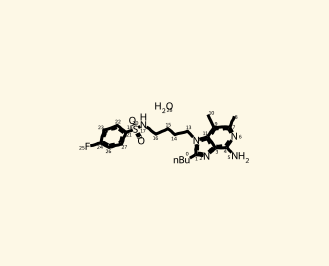 CCCCc1nc2c(N)nc(C)c(C)c2n1CCCCNS(=O)(=O)c1ccc(F)cc1.O